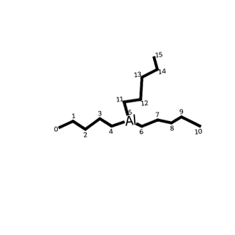 CCCC[CH2][Al]([CH2]CCCC)[CH2]CCCC